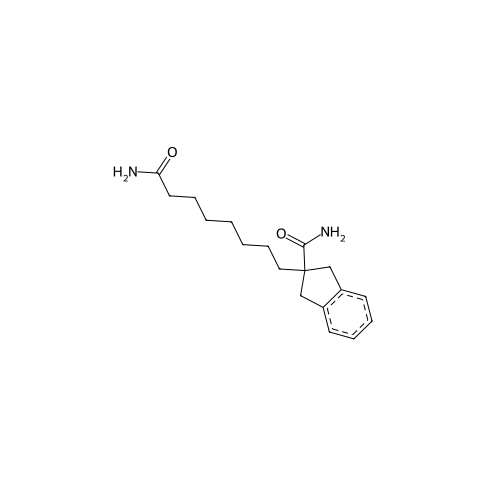 NC(=O)CCCCCCCC1(C(N)=O)Cc2ccccc2C1